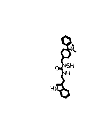 CN(C)C1(c2ccccc2)CCC(CN(S)C(=O)NCCc2c[nH]c3ccccc23)CC1